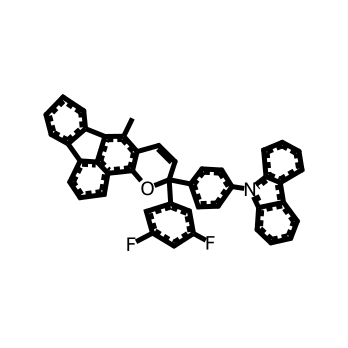 Cc1c2c(c3cccc4c3c1-c1ccccc1-4)OC(c1ccc(-n3c4ccccc4c4ccccc43)cc1)(c1cc(F)cc(F)c1)C=C2